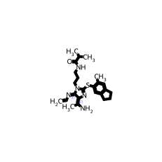 C=C/N=C1\C(=C(/C)N)N=C(Sc2cc3c(cc2C)CCC3)N1CCCNC(=O)C(C)C